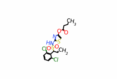 C=CC(c1c(Cl)cccc1Cl)S(=O)(=O)Nc1nc(OC(=O)CCC)cs1